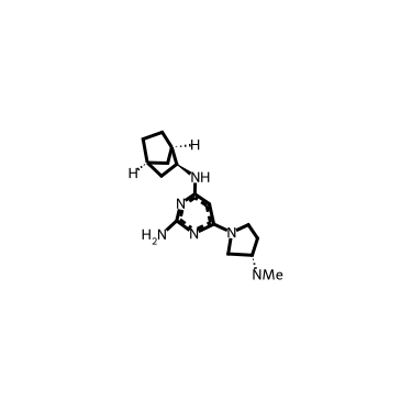 CN[C@H]1CCN(c2cc(N[C@H]3C[C@H]4CC[C@@H]3C4)nc(N)n2)C1